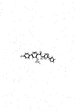 COc1cc(-c2ccc(F)cc2)nnc1C(=O)Nc1nnc(-c2cccs2)o1